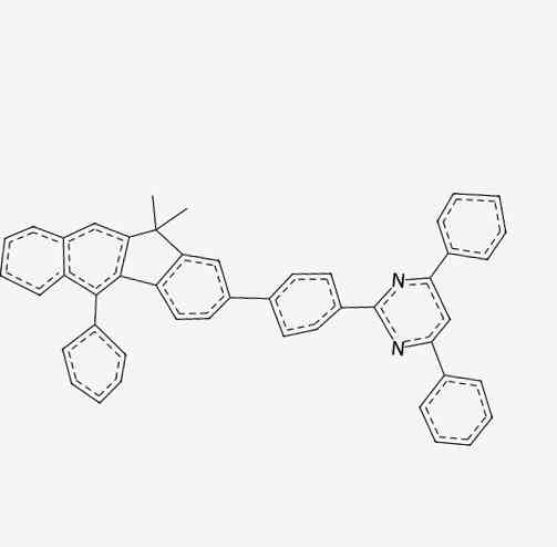 CC1(C)c2cc(-c3ccc(-c4nc(-c5ccccc5)cc(-c5ccccc5)n4)cc3)ccc2-c2c1cc1ccccc1c2-c1ccccc1